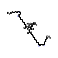 CCCCC/C=C\C/C=C\CCCCCCCCOC(=O)[C@H](COC(=O)CCCCCCC/C=C\C/C=C\CCCCC)NC(=O)CN(C)C